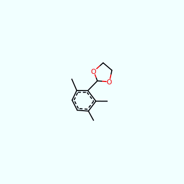 Cc1ccc(C)c(C2OCCO2)c1C